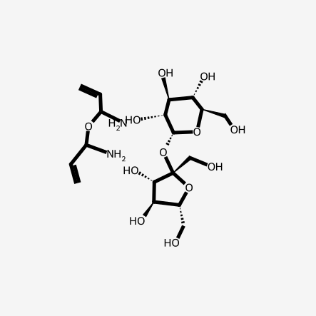 C=CC(N)OC(N)C=C.OC[C@H]1O[C@@](CO)(O[C@H]2O[C@H](CO)[C@@H](O)[C@H](O)[C@H]2O)[C@@H](O)[C@@H]1O